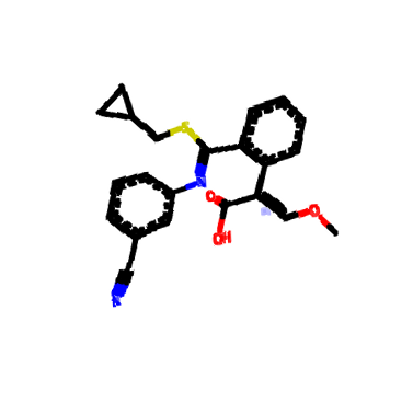 CO/C=C(/C(=O)O)c1ccccc1C(=Nc1cccc(C#N)c1)SCC1CC1